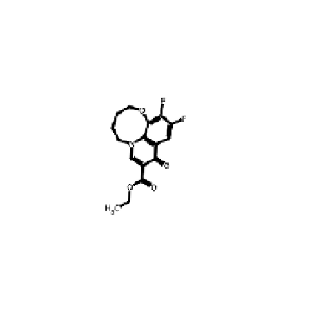 CCOC(=O)c1cn2c3c(c(F)c(F)cc3c1=O)OCCCC2